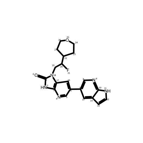 O=c1[nH]c2ncc(-c3cnc4[nH]ccc4c3)cc2n1CC(F)C1CCOCC1